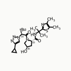 Cc1nc(C(C)(C)NC(=O)[C@@H]2C[C@@H](O)CN2C(=O)[C@@H](n2cc(C3CC3)nn2)C(C)(C)C)sc1C